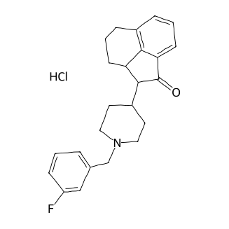 Cl.O=C1c2cccc3c2C(CCC3)C1C1CCN(Cc2cccc(F)c2)CC1